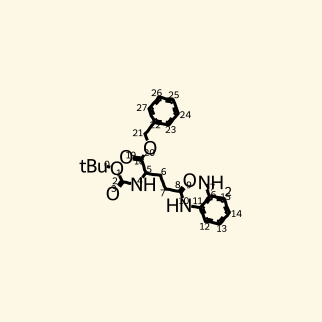 CC(C)(C)OC(=O)NC(CCC(=O)Nc1ccccc1N)C(=O)OCc1ccccc1